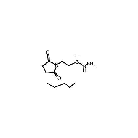 BBBCCN1C(=O)CCC1=O.CCCCC